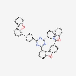 c1ccc(-c2nc(-c3ccc(-c4cccc5c4oc4ccccc45)cc3)nc(-c3cccc4oc5ccc(-c6nc7ccccc7o6)cc5c34)n2)cc1